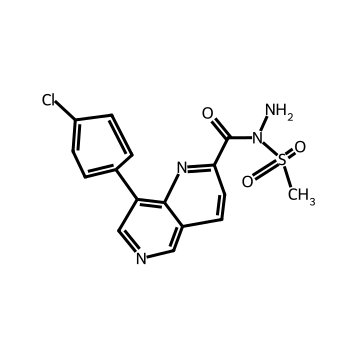 CS(=O)(=O)N(N)C(=O)c1ccc2cncc(-c3ccc(Cl)cc3)c2n1